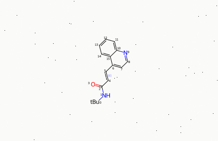 CC(C)(C)NC(=O)/C=C/c1ccnc2ccccc12